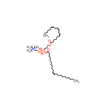 CCCCC/C=C\C/C=C\C/C=C\CCCCC(=O)OC[C@H](COP(=O)([O-])OCC[N+](C)(C)C)OC(=O)CCCCCCCCC/C=C\CCCCCCCCCC